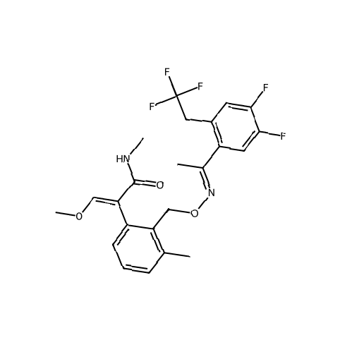 CNC(=O)/C(=C/OC)c1cccc(C)c1CO/N=C(\C)c1cc(F)c(F)cc1CC(F)(F)F